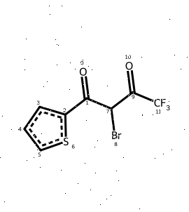 O=C(c1cccs1)C(Br)C(=O)C(F)(F)F